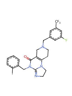 Cc1ccccc1CN1C(=O)C2=C(CCN(Cc3cc(F)cc(C(F)(F)F)c3)C2)N2CCN=C12